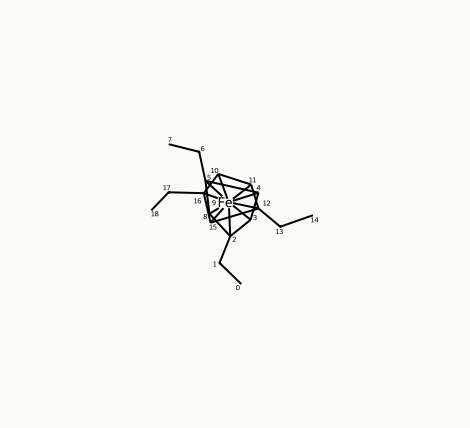 CC[C]12[CH]3[CH]4[C]5(CC)[CH]1[Fe]34251678[CH]2[CH]1[C]6(CC)[CH]7[C]28CC